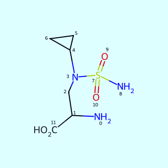 NC(CN(C1CC1)S(N)(=O)=O)C(=O)O